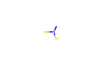 CN([S])S